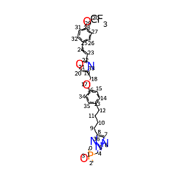 CP(C)(=O)Cn1ncc(CCCCc2ccc(OCc3coc(/C=C/c4ccc(OC(F)(F)F)cc4)n3)cc2)n1